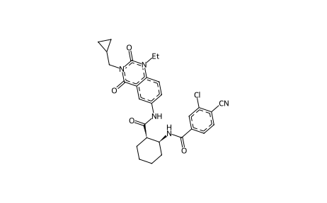 CCn1c(=O)n(CC2CC2)c(=O)c2cc(NC(=O)[C@@H]3CCCC[C@@H]3NC(=O)c3ccc(C#N)c(Cl)c3)ccc21